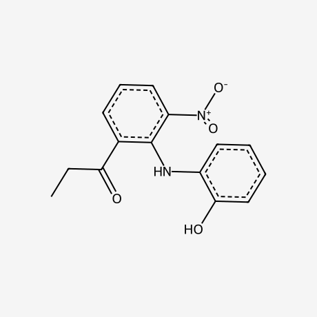 CCC(=O)c1cccc([N+](=O)[O-])c1Nc1ccccc1O